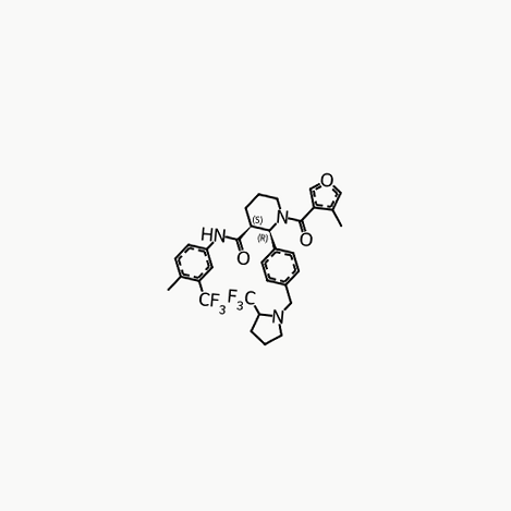 Cc1cocc1C(=O)N1CCC[C@H](C(=O)Nc2ccc(C)c(C(F)(F)F)c2)[C@@H]1c1ccc(CN2CCCC2C(F)(F)F)cc1